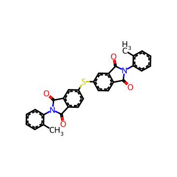 Cc1ccccc1N1C(=O)c2ccc(Sc3ccc4c(c3)C(=O)N(c3ccccc3C)C4=O)cc2C1=O